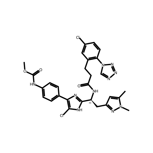 COC(=O)Nc1ccc(-c2nc([C@H](Cc3cc(C)n(C)n3)NC(=O)CCc3cc(Cl)ccc3-n3cnnn3)[nH]c2Cl)cc1